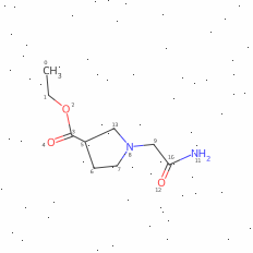 CCOC(=O)C1CCN(CC(N)=O)C1